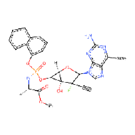 C#C[C@]1(F)[C@H](n2cnc3c(NC)nc(N)nc32)O[C@@H]2C(O[P@@](=O)(N[C@@H](C)C(=O)OC(C)C)Oc3cccc4ccccc34)[C@@]21O